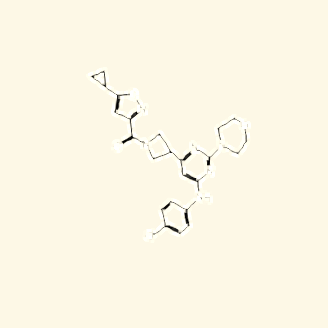 O=C(c1cc(C2CC2)on1)N1CC(c2cc(Nc3ccc(Cl)cc3)nc(N3CCOCC3)n2)C1